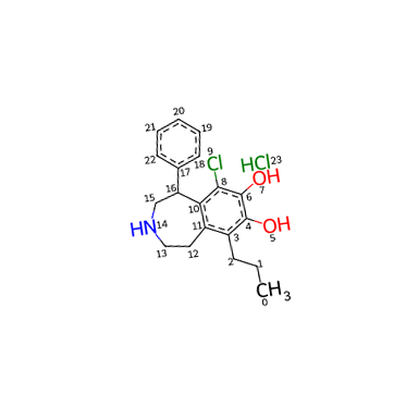 CCCc1c(O)c(O)c(Cl)c2c1CCNCC2c1ccccc1.Cl